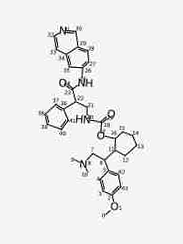 COc1ccc(C(CN(C)C)C2CCCCC2OC(=O)NCC(C(=O)Nc2ccc3cnccc3c2)c2ccccc2)cc1